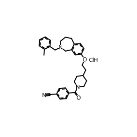 Cc1ccccc1CN1CCCc2ccc(OCCC3CCN(C(=O)c4ccc(C#N)cc4)CC3)cc2C1.Cl